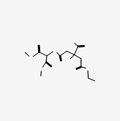 CCOC(=O)CC(O)(CC(=O)OC(C(=O)OC)C(=O)OC)C(=O)O